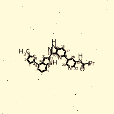 Cc1ccc(-c2cccc3[nH]c(-c4n[nH]c5ccc(-c6cncc(NC(=O)C(C)C)c6)nc45)cc23)s1